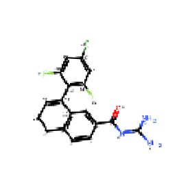 NC(N)=NC(=O)c1ccc2c(c1)C(c1c(F)cc(Cl)cc1F)=CCC2